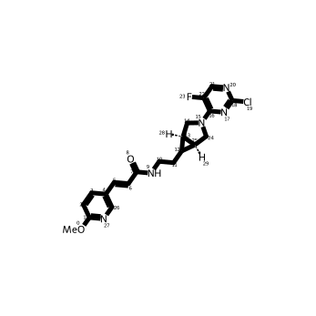 COc1ccc(/C=C/C(=O)NCCC2[C@H]3CN(c4nc(Cl)ncc4F)C[C@@H]23)cn1